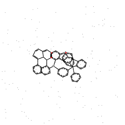 C1=CC2=CC=CC(c3ccccc3N(c3cccc(C4(c5ccccc5)c5ccccc5-c5ccccc54)c3)c3cccc4sc5ccccc5c34)C2C(c2ccccc2)=C1